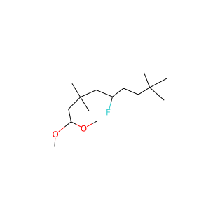 COC(CC(C)(C)CC(F)CCC(C)(C)C)OC